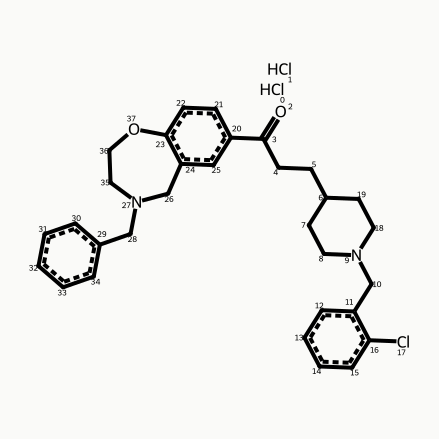 Cl.Cl.O=C(CCC1CCN(Cc2ccccc2Cl)CC1)c1ccc2c(c1)CN(Cc1ccccc1)CCO2